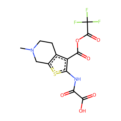 CN1CCc2c(sc(NC(=O)C(=O)O)c2C(=O)OC(=O)C(F)(F)F)C1